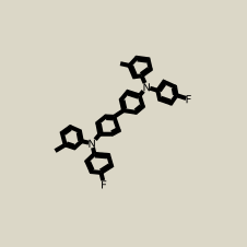 Cc1cccc(N(c2ccc(F)cc2)c2ccc(-c3ccc(N(c4ccc(F)cc4)c4cccc(C)c4)cc3)cc2)c1